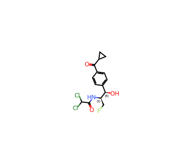 O=C(N[C@H](CF)[C@H](O)c1ccc(C(=O)C2CC2)cc1)C(Cl)Cl